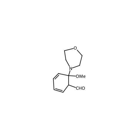 COC1(N2CCOCC2)C=CC=CC1C=O